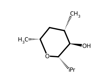 CC(C)[C@@H]1O[C@H](C)C[C@H](C)[C@H]1O